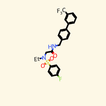 CCN(CC(=O)NCc1ccc(-c2cccc(C(F)(F)F)c2)cc1)S(=O)(=O)c1ccc(F)cc1